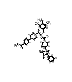 CC(C)OC(=O)c1ccc(N2CCN(C(=O)[C@@H](Cc3cc(Cl)c(N)c(C(F)(F)F)c3)OC(=O)N3CCC(n4nc(-c5ccccc5)[nH]c4=O)CC3)CC2)cc1